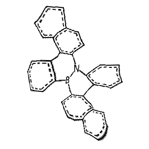 c1ccc2c(c1)B1c3ccc4ccccc4c3-c3ccccc3N1c1ccc3ccccc3c1-2